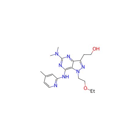 CCOCCn1nc(CCO)c2nc(N(C)C)nc(Nc3cc(C)ccn3)c21